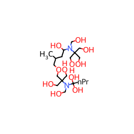 CCCC(O)(O)N(CO)C(CO)(CO)COCC(C)CC(O)N(CO)C(CO)(CO)CO